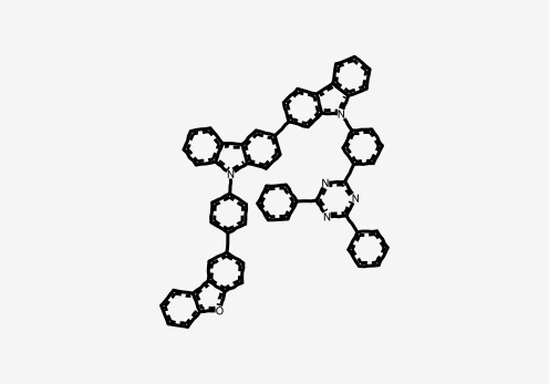 c1ccc(-c2nc(-c3ccccc3)nc(-c3cccc(-n4c5ccccc5c5ccc(-c6ccc7c(c6)c6ccccc6n7-c6ccc(-c7ccc8oc9ccccc9c8c7)cc6)cc54)c3)n2)cc1